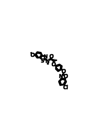 COc1ccc2nc(N(C)C(=O)[C@@H](C)Oc3ccc(Oc4nc5ccc(Cl)cc5o4)cc3)sc2c1